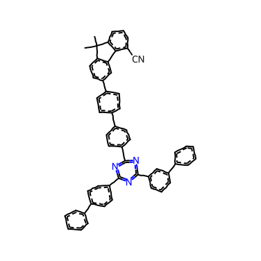 CC1(C)c2ccc(-c3ccc(-c4ccc(-c5nc(-c6ccc(-c7ccccc7)cc6)nc(-c6cccc(-c7ccccc7)c6)n5)cc4)cc3)cc2-c2c(C#N)cccc21